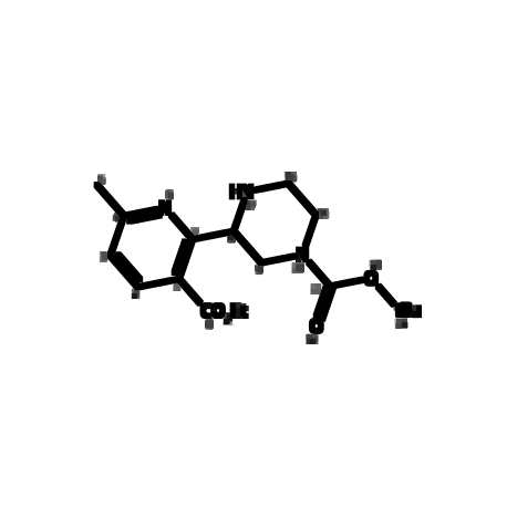 CCOC(=O)c1ccc(C)nc1C1CN(C(=O)OC(C)(C)C)CCN1